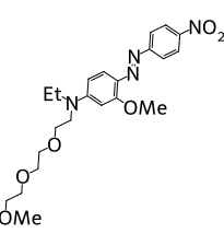 CCN(CCOCCOCCOC)c1ccc(/N=N/c2ccc([N+](=O)[O-])cc2)c(OC)c1